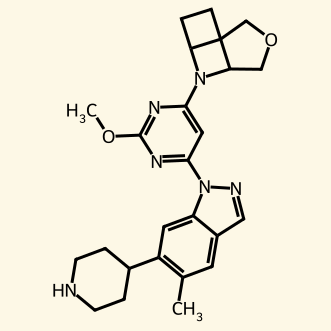 COc1nc(N2C3CCC34COCC24)cc(-n2ncc3cc(C)c(C4CCNCC4)cc32)n1